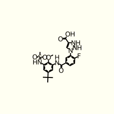 COc1c(NC(=O)c2ccc(F)c(N3C=C(C(=O)O)NN3)c2)cc(C(C)(C)C)cc1NS(C)(=O)=O